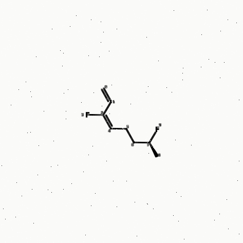 C=C/C(F)=C\CC[C@H](C)F